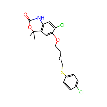 CC1(C)OC(=O)Nc2cc(Cl)c(OCCCCSc3ccc(Cl)cc3)cc21